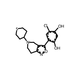 Oc1cc(O)c(-c2onc3c2CN(C2CCSCC2)CC3)cc1Cl